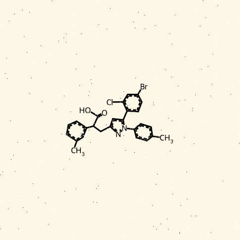 Cc1ccc(-n2nc(CC(C(=O)O)c3cccc(C)c3)cc2-c2ccc(Br)cc2Cl)cc1